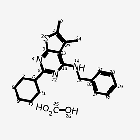 Cc1sc2nc(C3CCCCC3)nc(NCc3ccccc3)c2c1C.O=C(O)O